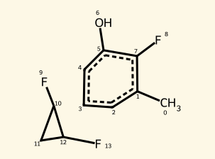 Cc1cccc(O)c1F.FC1CC1F